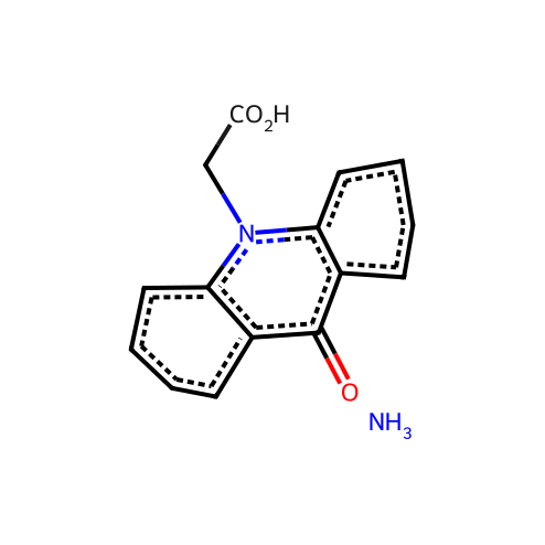 N.O=C(O)Cn1c2ccccc2c(=O)c2ccccc21